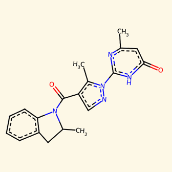 Cc1cc(=O)[nH]c(-n2ncc(C(=O)N3c4ccccc4CC3C)c2C)n1